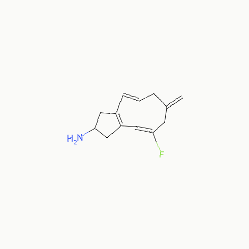 C=C1C/C=C/C2=C(/C=C(\F)C1)CC(N)C2